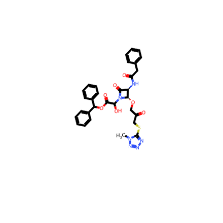 Cn1nnnc1SCC(=O)CO[C@H]1[C@H](NC(=O)Cc2ccccc2)C(=O)N1C(O)C(=O)OC(c1ccccc1)c1ccccc1